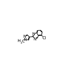 Cn1cc(-c2ncc3c(Cl)cccc3n2)cn1